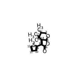 CC1COC2OC(=O)C(c3cccs3)=C2C1(C)C